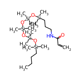 C=CC(=O)NCCC[Si](C)(C)O[Si](C)(C)O[Si](C)(C)O[Si](C)(C)O[Si](C)(C)CCCC